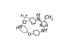 Cc1cc(Nc2nc(Nc3ccc(OC4CCNCC4)cc3)ncc2C)ccc1Cl